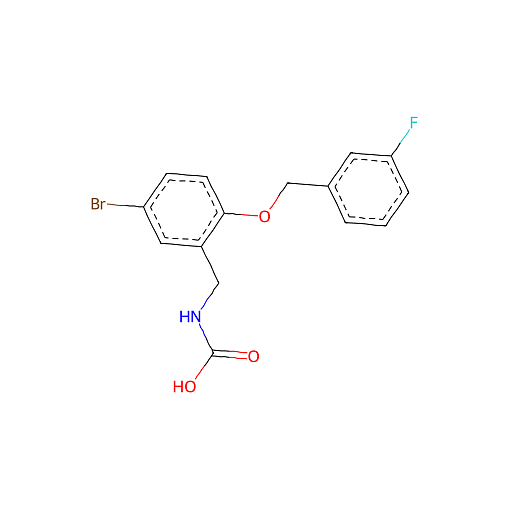 O=C(O)NCc1cc(Br)ccc1OCc1cccc(F)c1